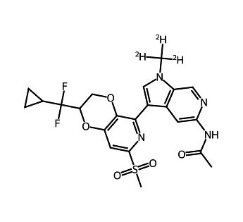 [2H]C([2H])([2H])n1cc(-c2nc(S(C)(=O)=O)cc3c2OCC(C(F)(F)C2CC2)O3)c2cc(NC(C)=O)ncc21